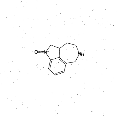 O=[N+]1CC2CCNCc3cccc1c32